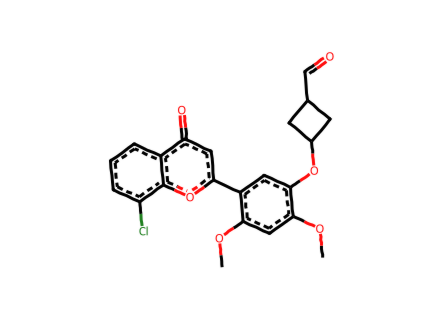 COc1cc(OC)c(-c2cc(=O)c3cccc(Cl)c3o2)cc1OC1CC(C=O)C1